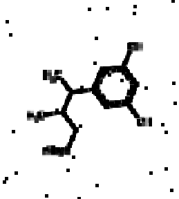 CCCCCCCCC(C)C(C)c1cc(O)cc(O)c1